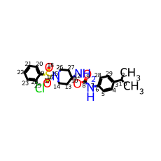 CC(C)c1ccc(NC(=O)OC2(N)CCN(S(=O)(=O)c3ccccc3Cl)CC2)cc1